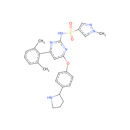 Cc1cccc(C)c1-c1cc(Oc2ccc(C3CCCN3)cc2)nc(NS(=O)(=O)c2cnn(C)c2)n1